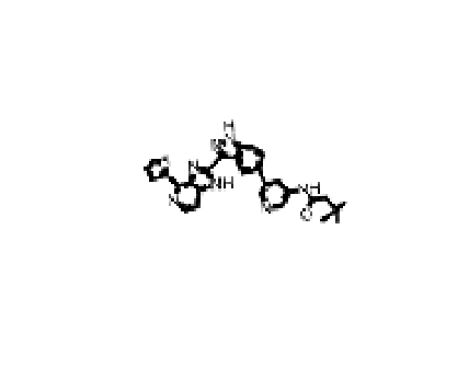 CC(C)(C)CC(=O)Nc1cncc(-c2ccc3[nH]nc(-c4nc5c(-c6cccs6)nccc5[nH]4)c3c2)c1